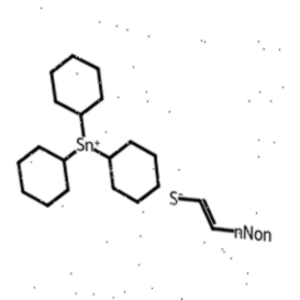 C1CC[CH]([Sn+]([CH]2CCCCC2)[CH]2CCCCC2)CC1.CCCCCCCCCC=C[S-]